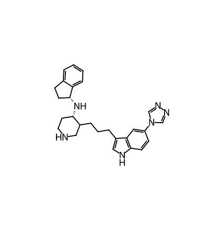 c1ccc2c(c1)CC[C@H]2N[C@H]1CCNCC1CCCc1c[nH]c2ccc(-n3cnnc3)cc12